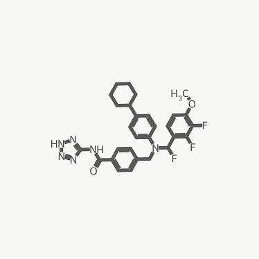 COc1ccc(C(F)N(Cc2ccc(C(=O)Nc3nn[nH]n3)cc2)c2ccc(C3CCCCC3)cc2)c(F)c1F